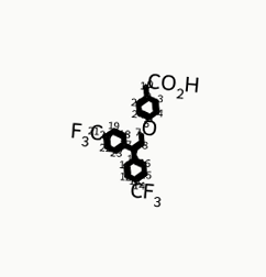 O=C(O)Cc1ccc(OCC=C(c2ccc(C(F)(F)F)cc2)c2ccc(C(F)(F)F)cc2)cc1